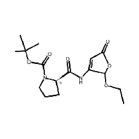 CCOC1OC(=O)C=C1NC(=O)[C@H]1CCCN1C(=O)OC(C)(C)C